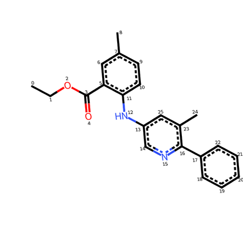 CCOC(=O)c1cc(C)ccc1Nc1cnc(-c2ccccc2)c(C)c1